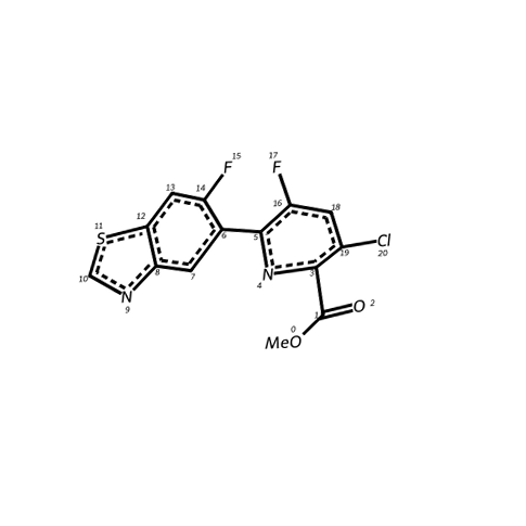 COC(=O)c1nc(-c2cc3ncsc3cc2F)c(F)cc1Cl